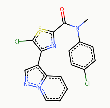 CN(C(=O)c1nc(-c2cnn3ccccc23)c(Cl)s1)c1ccc(Cl)cc1